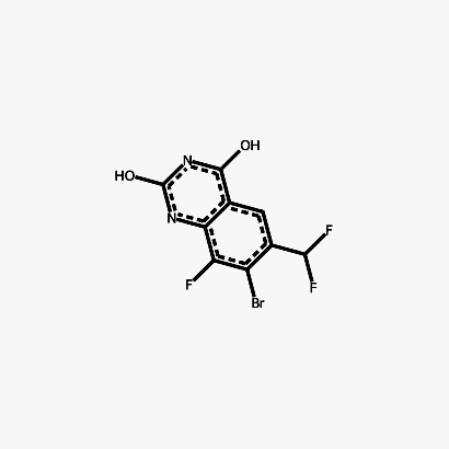 Oc1nc(O)c2cc(C(F)F)c(Br)c(F)c2n1